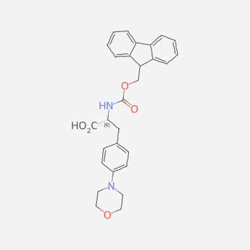 O=C(N[C@H](Cc1ccc(N2CCOCC2)cc1)C(=O)O)OCC1c2ccccc2-c2ccccc21